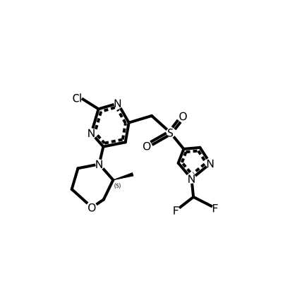 C[C@H]1COCCN1c1cc(CS(=O)(=O)c2cnn(C(F)F)c2)nc(Cl)n1